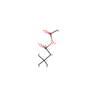 CC(=O)OC(=O)CC(C)(C)C